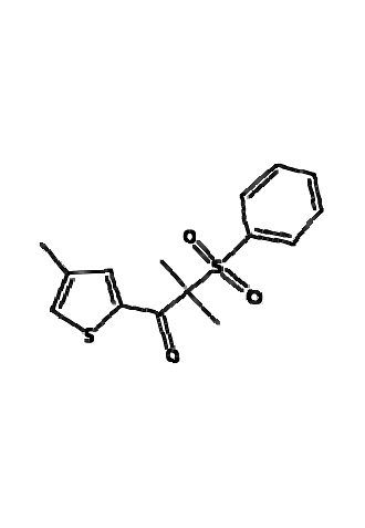 Cc1csc(C(=O)C(C)(C)S(=O)(=O)c2ccccc2)c1